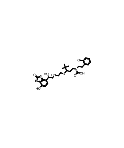 CC(C)(C)C(CCN(CCc1ccccc1Cl)C(=O)O)SCCNC[C@H](O)c1ccc(O)c2[nH]c(=O)sc12